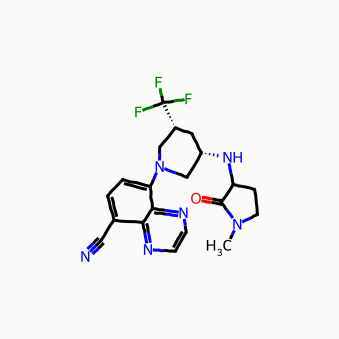 CN1CCC(N[C@H]2C[C@@H](C(F)(F)F)CN(c3ccc(C#N)c4nccnc34)C2)C1=O